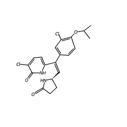 CC(C)Oc1ccc(/C(=C/[C@H]2CCC(=O)N2)c2ccc(Cl)c(=O)[nH]2)cc1Cl